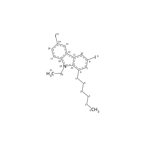 CCCCCCc1cc(I)cc2c3cc(I)ccc3n(CC)c12